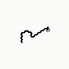 CCCCC/C=C\C/C=C\C/C=C\C/C=C\CCCCCCCC(C)=O